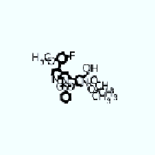 COc1ccc(F)cc1-c1ccnc2c1cc(C1=CCN(C(=O)OC(C)(C)C)C(CO)C1)n2S(=O)(=O)c1ccccc1